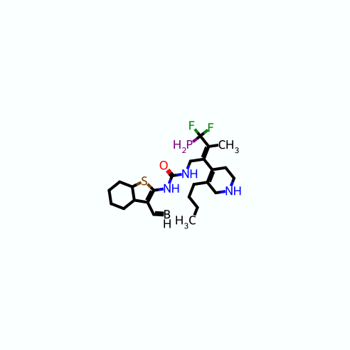 B=CC1=C(NC(=O)NC/C(C2=C(CCCC)CNCC2)=C(/C)C(F)(F)P)SC2CCCCC12